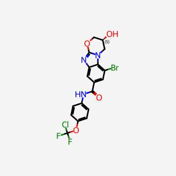 O=C(Nc1ccc(OC(F)(F)Cl)cc1)c1cc(Br)c2c(c1)nc1n2C[C@H](O)CO1